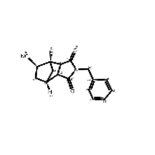 N#C[C@@H]1C[C@@H]2C[C@H]1C1C(=O)N(Cc3ccccc3)C(=O)C12